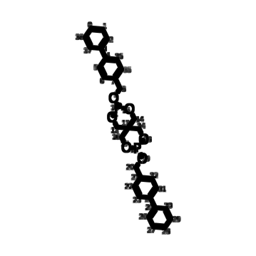 c1ccc(-c2ccc(COP3OCC4(CO3)COP(OCc3ccc(-c5ccccc5)cc3)OC4)cc2)cc1